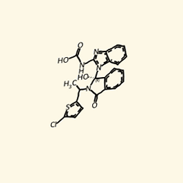 CC(c1ccc(Cl)s1)N1C(=O)c2ccccc2[C@]1(O)n1c(NC(=O)O)nc2ccccc21